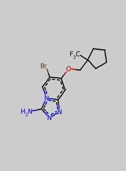 Nc1nnc2cc(OCC3(C(F)(F)F)CCCC3)c(Br)cn12